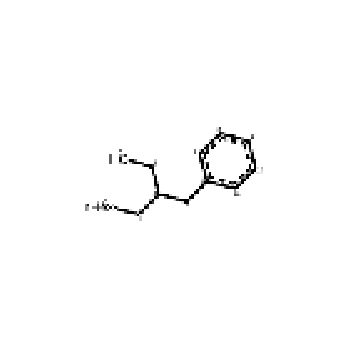 CCCCCCCC(CO)Cc1ccccc1